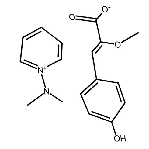 CN(C)[n+]1ccccc1.COC(=Cc1ccc(O)cc1)C(=O)[O-]